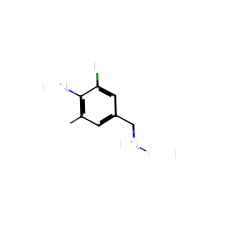 Nc1c(F)cc(CNC(=O)O)cc1C(F)(F)F